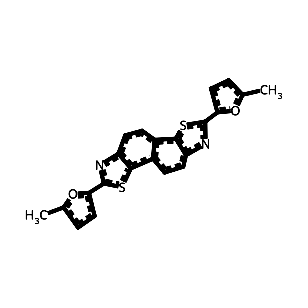 Cc1ccc(-c2nc3ccc4c(ccc5nc(-c6ccc(C)o6)sc54)c3s2)o1